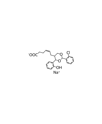 O=C([O-])CC/C=C\CC1COC(c2ccccc2Cl)OC1c1ccccc1O.[Na+]